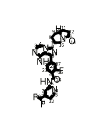 Nc1nccn2c([C@@H]3CC[C@H]4CCC(=O)N4C3)nc(-c3ccc(C(=O)Nc4cc(C(F)F)ccn4)c(F)c3)c12